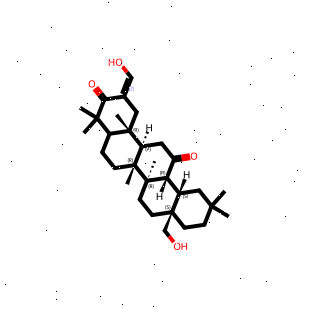 CC1(C)CC[C@]2(CO)CC[C@]3(C)[C@H](C(=O)C[C@@H]4[C@@]5(C)C/C(=C/O)C(=O)C(C)(C)C5CC[C@]43C)[C@@H]2C1